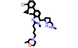 C=N/C(CCCCN1CCOC(C)C1)=N\c1c(CC2CCC(CNC)N2)ccc(-c2cccc(Cl)c2C2CC2)c1C